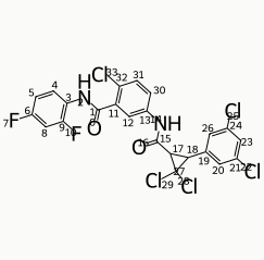 O=C(Nc1ccc(F)cc1F)c1cc(NC(=O)C2C(c3cc(Cl)cc(Cl)c3)C2(Cl)Cl)ccc1Cl